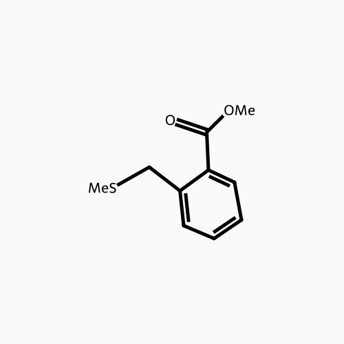 COC(=O)c1ccccc1CSC